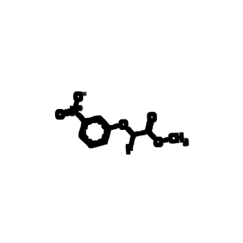 COC(=O)C(F)Oc1cccc([N+](=O)[O-])c1